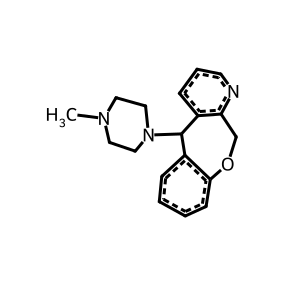 CN1CCN(C2c3ccccc3OCc3ncccc32)CC1